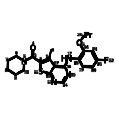 Cc1c(C(=O)N2CCCCC2)sc2ncnc(Nc3ccc(F)cc3OC(C)C)c12